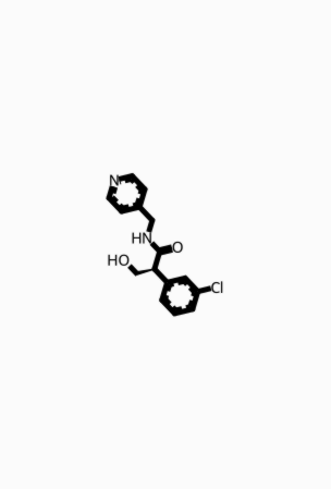 O=C(NCc1ccncc1)[C@H](CO)c1cccc(Cl)c1